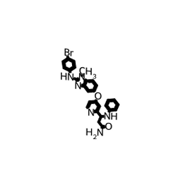 Cn1c(Nc2ccc(Br)cc2)nc2cc(Oc3ccnc(C(CC(N)=O)Nc4ccccc4)c3)ccc21